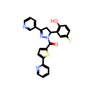 O=C(c1ccc(-c2ccccn2)s1)N1N=C(c2cccnc2)CC1c1cc(F)ccc1O